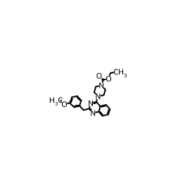 CCOC(=O)N1CCN(c2nc(Cc3cccc(OC)c3)nc3ccccc23)CC1